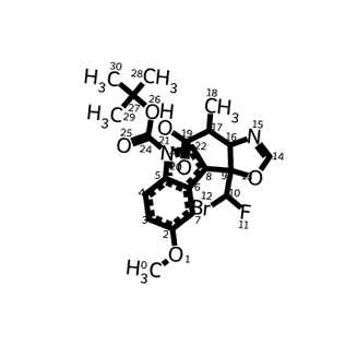 COc1ccc2c(c1)c(C1(C(F)Br)OC=NC1C(C)C(=O)O)cn2C(=O)OC(C)(C)C